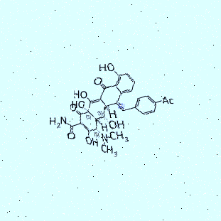 CC(=O)c1ccc(/C=C2\c3cccc(O)c3C(=O)C3=C(O)[C@]4(O)C(=O)C(C(N)=O)=C(O)[C@@H](N(C)C)[C@@H]4[C@@H](O)[C@@H]32)cc1